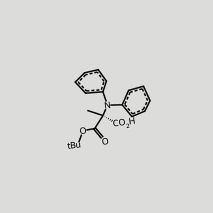 CC(C)(C)OC(=O)[C@](C)(C(=O)O)N(c1ccccc1)c1ccccc1